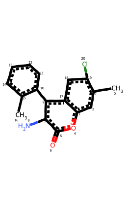 Cc1cc2oc(=O)c(N)c(-c3ccccc3C)c2cc1Cl